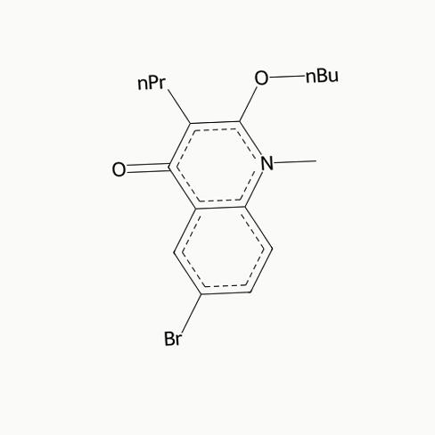 CCCCOc1c(CCC)c(=O)c2cc(Br)ccc2n1C